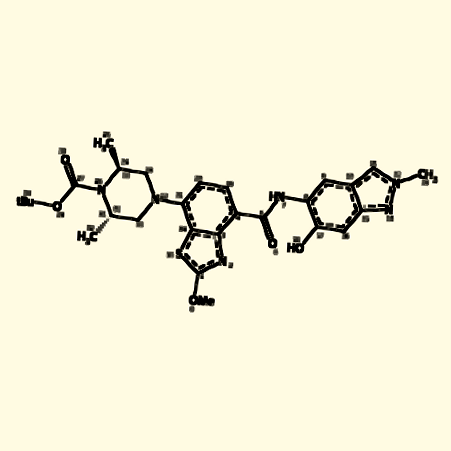 COc1nc2c(C(=O)Nc3cc4cn(C)nc4cc3O)ccc(N3C[C@H](C)N(C(=O)OC(C)(C)C)[C@@H](C)C3)c2s1